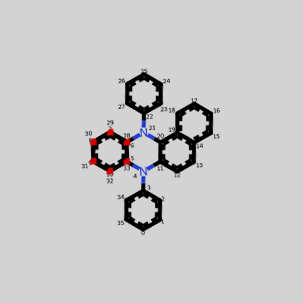 c1ccc(N(c2ccccc2)c2ccc3ccccc3c2N(c2ccccc2)c2ccccc2)cc1